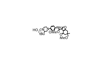 COCC1(C)CC(=O)c2c(C(=O)Nc3ccc(N4CCN(C(=O)O)C(C(C)(C)C)C4)cc3OC)coc2C1